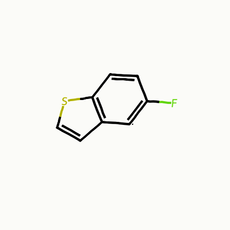 Fc1[c]c2ccsc2cc1